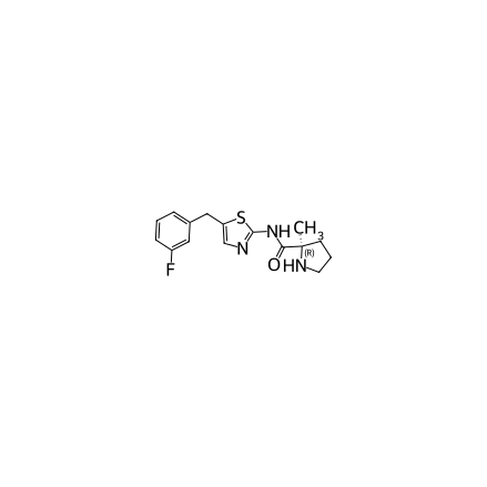 C[C@]1(C(=O)Nc2ncc(Cc3cccc(F)c3)s2)CCCN1